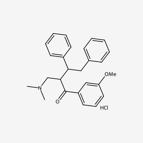 COc1cccc(C(=O)C(CN(C)C)C(Cc2ccccc2)c2ccccc2)c1.Cl